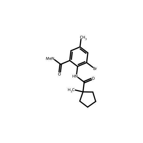 CNC(=O)c1cc(C)cc(Br)c1NC(=O)C1(C)CCCC1